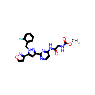 COC(=O)NCC(=O)Nc1ccnc(-c2cc(-c3ccon3)n(Cc3ccccc3F)n2)n1